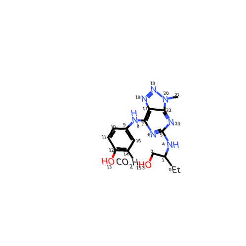 CCC(CO)Nc1nc(Nc2ccc(O)c(C(=O)O)c2)c2nnn(C)c2n1